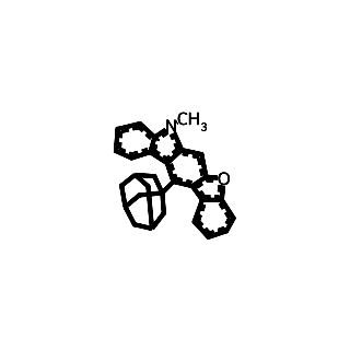 Cn1c2ccccc2c2c(C34CC5CC(CC(C5)C3)C4)c3c(cc21)oc1ccccc13